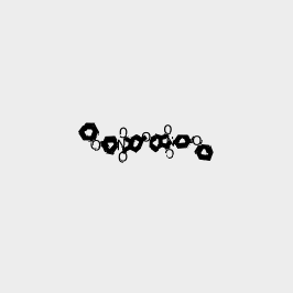 O=C1c2ccc(Oc3ccc4c(c3)C(=O)N(c3ccc(Oc5ccccc5)cc3)C4=O)cc2C(=O)N1c1ccc(Oc2ccccc2)cc1